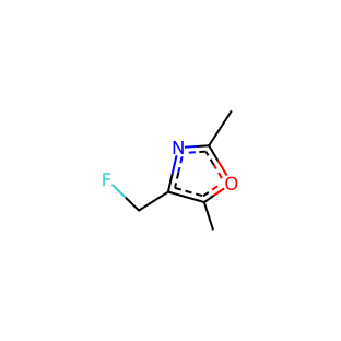 Cc1nc(CF)c(C)o1